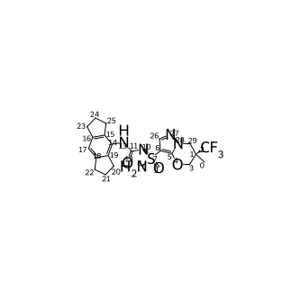 C[C@]1(C(F)(F)F)COc2c([S@](N)(=O)=NC(=O)Nc3c4c(cc5c3CCC5)CCC4)cnn2C1